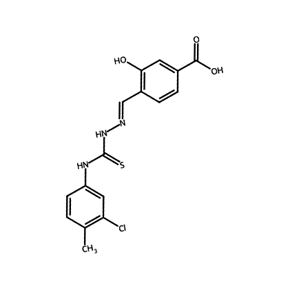 Cc1ccc(NC(=S)NN=Cc2ccc(C(=O)O)cc2O)cc1Cl